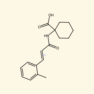 Cc1ccccc1/C=C/C(=O)NC1(C(=O)O)CCCCC1